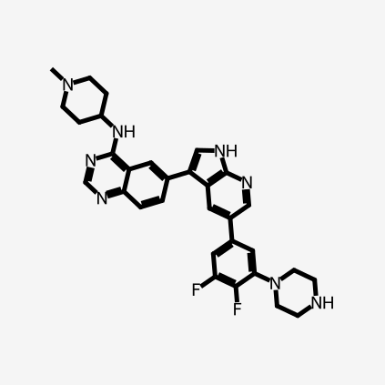 CN1CCC(Nc2ncnc3ccc(-c4c[nH]c5ncc(-c6cc(F)c(F)c(N7CCNCC7)c6)cc45)cc23)CC1